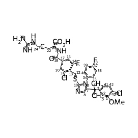 COc1cc(C(C)(C)c2cnc(SCc3c(F)cc(C(=O)N[C@H](CCCNC(=N)N)C(=O)O)cc3Cl)n2-c2ccc(F)cc2)ccc1Cl